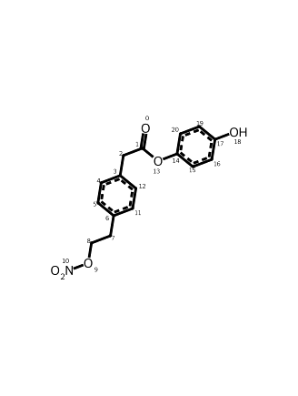 O=C(Cc1ccc(CCO[N+](=O)[O-])cc1)Oc1ccc(O)cc1